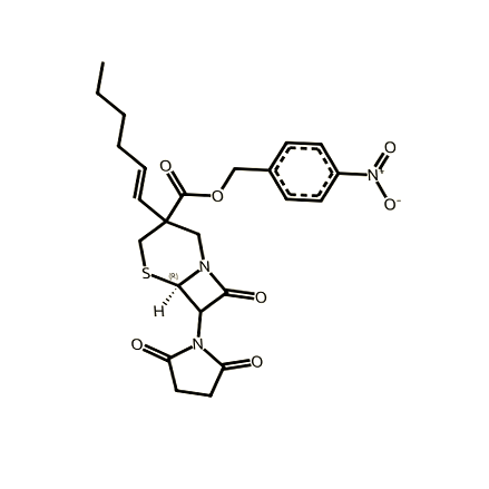 CCCCC=CC1(C(=O)OCc2ccc([N+](=O)[O-])cc2)CS[C@@H]2C(N3C(=O)CCC3=O)C(=O)N2C1